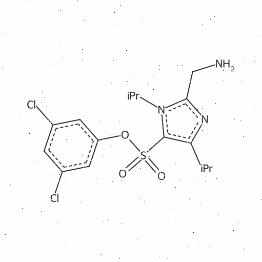 CC(C)c1nc(CN)n(C(C)C)c1S(=O)(=O)Oc1cc(Cl)cc(Cl)c1